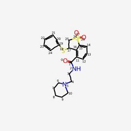 O=C(NCCN1CCCCC1)c1cccc2c1C(Sc1ccccc1)CS2(=O)=O